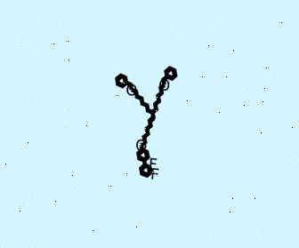 Fc1cccc(-c2ccc(OCCCCCC=CC(CCCCCCOCc3ccccc3)CCCCCCOCc3ccccc3)cc2)c1F